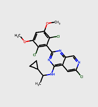 COc1cc(OC)c(Cl)c(-c2nc(NC(C)C3CC3)c3cc(Cl)ncc3n2)c1Cl